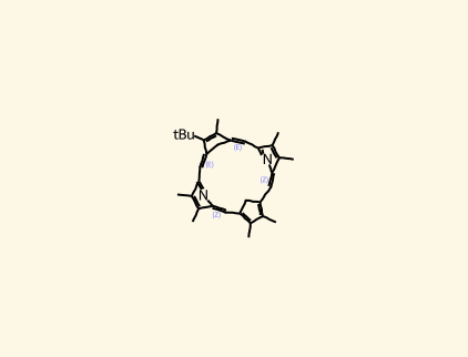 CC1=C2/C=C3N=C(/C=C4\C/C(=C\C5=NC(=C\C(=C1C)C2)/C(C)=C5C)C(C(C)(C)C)=C4C)C(C)=C\3C